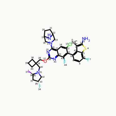 N#Cc1c(N)sc2c(F)ccc(-c3c(Cl)cc4c(N5CC6CCC(C5)N6)nc(OCC5(CN6C[C@H](F)C[C@H]6I)CCC5)nc4c3F)c12